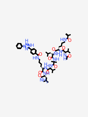 C=C(C)C(=O)NCCCC[C@H](NC(=O)[C@@H](NC(C)=O)C(C)C)C(=O)N[C@@H](CC(C)C)C(=O)NC(C)(C)C(=O)N[C@H](C(=O)N[C@@H](CCCCNC(=O)c1ccc(C2=NN(c3ccccc3)NN2)cc1)C(=O)N[C@@H](CC(C)C)C(N)=O)C(C)C